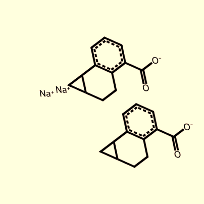 O=C([O-])c1cccc2c1CCC1CC21.O=C([O-])c1cccc2c1CCC1CC21.[Na+].[Na+]